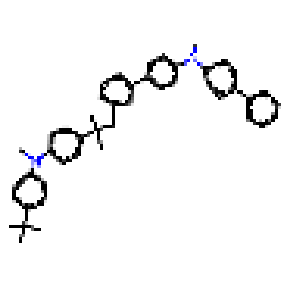 CN(c1ccc(-c2ccccc2)cc1)c1ccc(-c2cccc(CC(C)(C)c3ccc(N(C)c4ccc(C(C)(C)C)cc4)cc3)c2)cc1